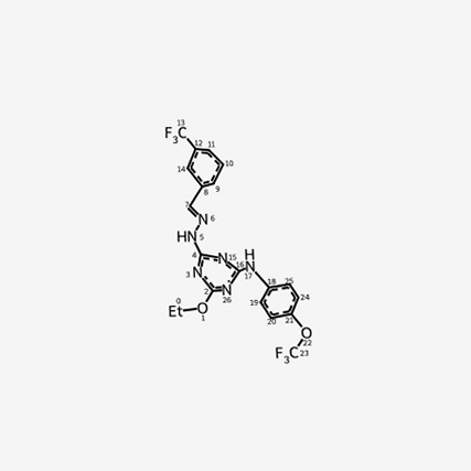 CCOc1nc(N/N=C/c2cccc(C(F)(F)F)c2)nc(Nc2ccc(OC(F)(F)F)cc2)n1